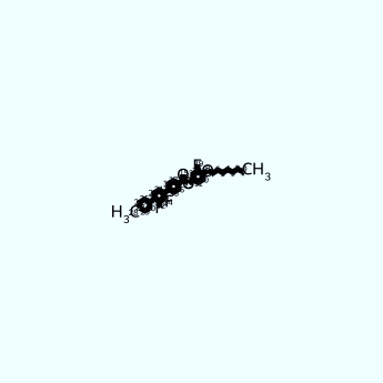 CCCCCCCCOc1ccc(OC(=O)c2ccc(-c3ccc(C4CCC(C)CC4)c(F)c3F)cc2)cc1F